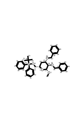 CO[C@@H]1O[C@H](CO[Si](c2ccccc2)(c2ccccc2)C(C)(C)C)C[C@H](OCc2ccccc2)[C@H]1OCc1ccccc1